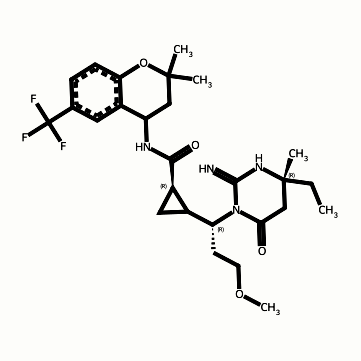 CC[C@]1(C)CC(=O)N([C@H](CCOC)C2C[C@H]2C(=O)NC2CC(C)(C)Oc3ccc(C(F)(F)F)cc32)C(=N)N1